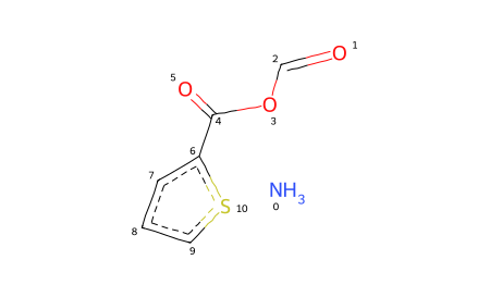 N.O=COC(=O)c1cccs1